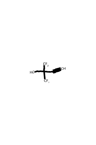 C#CC(O)(C(F)(F)F)C(F)(F)F